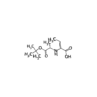 CC=C(NC(C)C(=O)OC(C)(C)C)C(=O)O